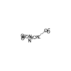 C=CC(=O)OCCCCCCN(CC)c1ccc(N=Nc2ccc([N+](=O)[O-])cc2C#N)cc1